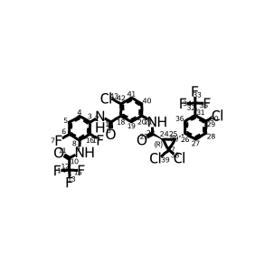 O=C(Nc1ccc(F)c(NC(=O)C(F)(F)F)c1F)c1cc(NC(=O)[C@H]2[C@H](c3ccc(Cl)c(C(F)(F)F)c3)C2(Cl)Cl)ccc1Cl